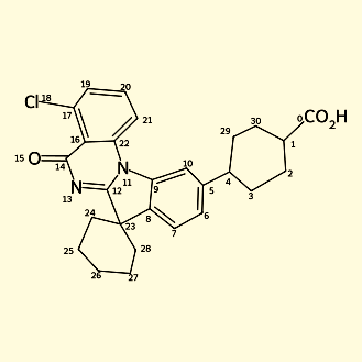 O=C(O)C1CCC(c2ccc3c(c2)-n2c(nc(=O)c4c(Cl)cccc42)C32CCCCC2)CC1